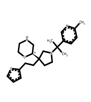 Cc1ccc(C(C)(C)N2CCC(CCc3cccs3)([C@@H]3CNCCO3)C2)cn1